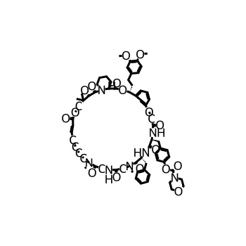 COc1ccc(CC[C@H]2OC(=O)[C@@H]3CCCCN3C(=O)C(=O)C(C)(C)COC(=O)/C=C/CCCCN(C)C(=O)CNC(=O)CN(C)C(=O)[C@@H](Cc3ccccc3)NC(=O)[C@H](Cc3ccc(OC(=O)N4CCOCC4)cc3)NC(=O)COc3cccc2c3)cc1OC